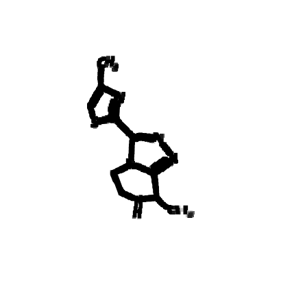 Cc1csc(-c2nnc3n2CCNC3C)n1